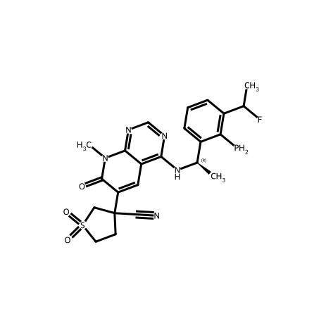 CC(F)c1cccc([C@@H](C)Nc2ncnc3c2cc(C2(C#N)CCS(=O)(=O)C2)c(=O)n3C)c1P